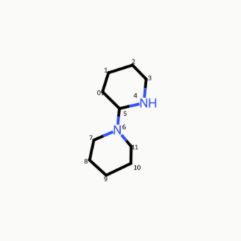 [CH]1CCCNC1N1CCCCC1